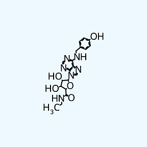 CCNC(=O)C1OC(n2cnc3c(NCc4ccc(O)cc4)ncnc32)C(O)C1O